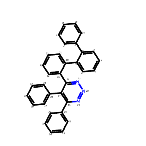 c1ccc(-c2ccccc2-c2ccccc2-c2nnnc(-c3ccccc3)c2-c2ccccc2)cc1